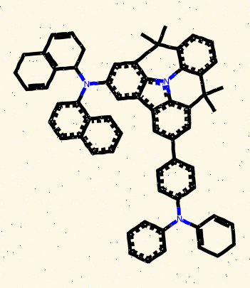 CC1(C)c2cccc3c2-n2c4c1cc(-c1ccc(N(C5=CCCC=C5)c5ccccc5)cc1)cc4c1cc(N(c4cccc5ccccc45)C4CC=CC5=C4C=CCC5)cc(c12)C3(C)C